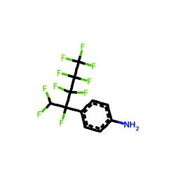 Nc1ccc(C(F)(C(F)F)C(F)(F)C(F)(F)C(F)(F)F)cc1